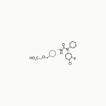 O=C(O)COC[C@H]1CC[C@H](CNC(=O)N(c2ccccc2)c2ccc(Cl)c(F)c2)CC1